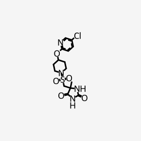 CC1(CS(=O)(=O)N2CCC(Oc3ccc(Cl)cn3)CC2)NC(=O)NC1=O